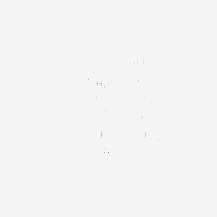 COc1cc(/C=C/C(=O)c2ccc([N+](=O)[O-])cc2)cc(OC)c1.COc1cc(/C=C/C(=O)c2ccc([N+](=O)[O-])cc2)cc(OC)c1